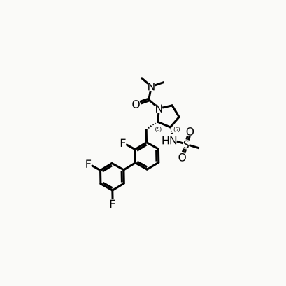 CN(C)C(=O)N1CC[C@H](NS(C)(=O)=O)[C@@H]1Cc1cccc(-c2cc(F)cc(F)c2)c1F